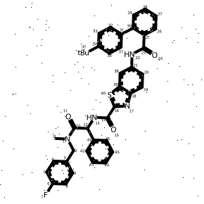 CN(Cc1ccc(F)cc1)C(=O)C(NC(=O)c1nc2ccc(NC(=O)c3ccccc3-c3ccc(C(C)(C)C)cc3)cc2s1)c1ccccc1